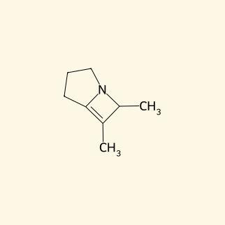 CC1=C2CCCN2C1C